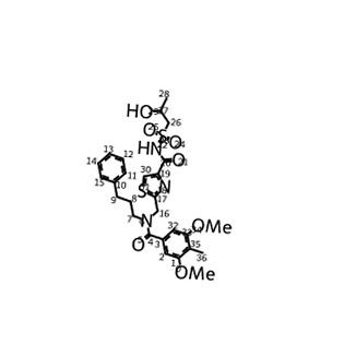 COc1cc(C(=O)N(CCCc2ccccc2)Cc2nc(C(=O)NS(=O)(=O)CC(C)O)cs2)cc(OC)c1C